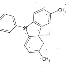 CC1=CC=C2[C@H](C1)c1cc(C)ccc1N2c1ccccc1